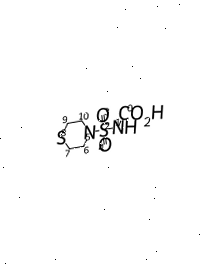 O=C(O)NS(=O)(=O)N1CCSCC1